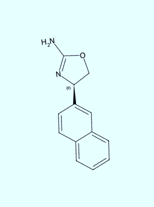 NC1=N[C@H](c2ccc3ccccc3c2)CO1